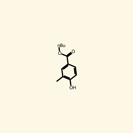 CCCCOC(=O)c1ccc(O)c(C)c1